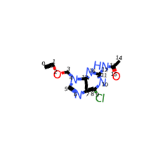 C=COCn1cnc2c(Cl)nc(NC(C)=O)nc21